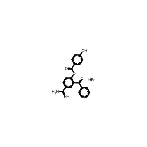 Br.N=C(N)c1ccc(OC(=O)c2ccc(O)cc2)c(C(=O)c2ccccc2)c1